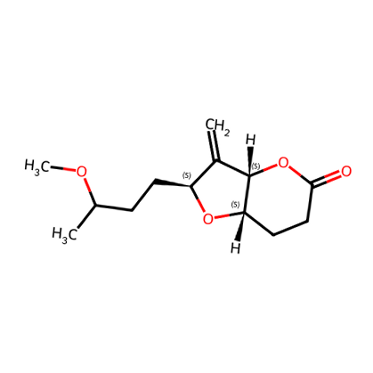 C=C1[C@H](CCC(C)OC)O[C@H]2CCC(=O)O[C@@H]12